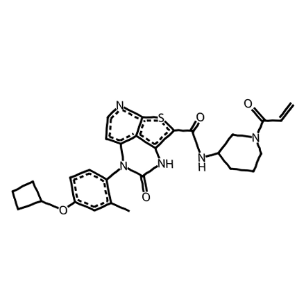 C=CC(=O)N1CCCC(NC(=O)c2sc3nccc4c3c2NC(=O)N4c2ccc(OC3CCC3)cc2C)C1